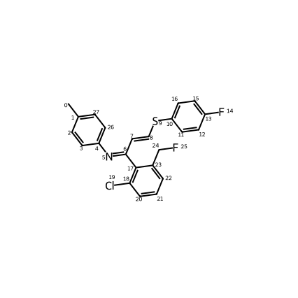 Cc1ccc(N=C(C=CSc2ccc(F)cc2)c2c(Cl)cccc2CF)cc1